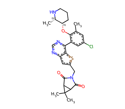 Cc1cc(Cl)cc(-c2ncnc3cc(CN4C(=O)C5C(C4=O)C5(C)C)sc23)c1O[C@H]1CCCN[C@H]1C